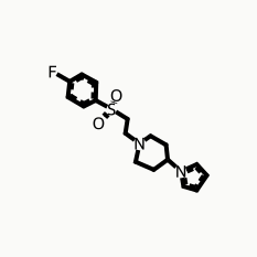 O=S(=O)(CCN1CCC(n2cccc2)CC1)c1ccc(F)cc1